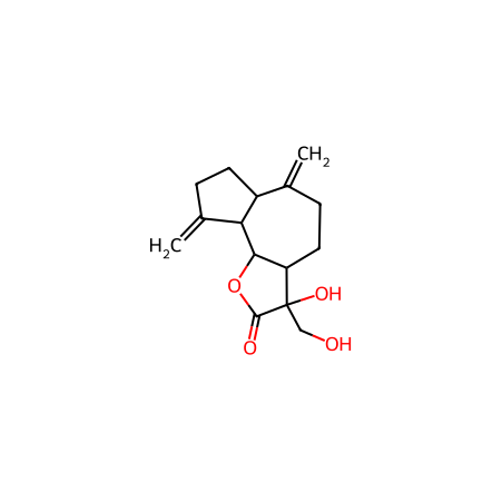 C=C1CCC2C(OC(=O)C2(O)CO)C2C(=C)CCC12